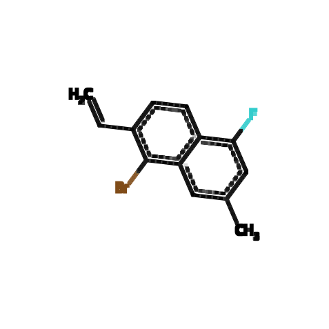 C=Cc1ccc2c(F)cc(C)cc2c1Br